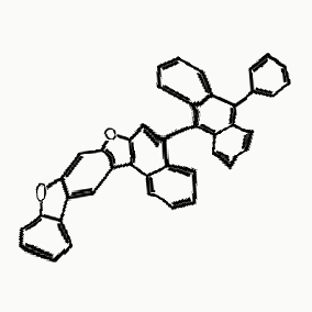 c1ccc(-c2c3ccccc3c(-c3cc4oc5cc6oc7ccccc7c6cc5c4c4ccccc34)c3ccccc23)cc1